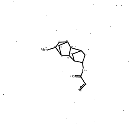 C=CC(=O)OC1CC2CC1C1C3CC(CC3OC)C21